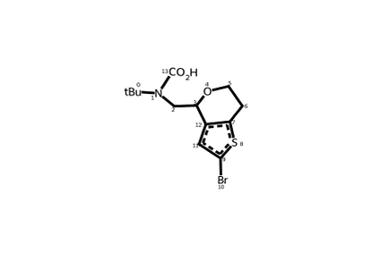 CC(C)(C)N(CC1OCCc2sc(Br)cc21)C(=O)O